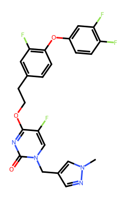 Cn1cc(Cn2cc(F)c(OCCc3ccc(Oc4ccc(F)c(F)c4)c(F)c3)nc2=O)cn1